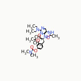 CCN(CC)c1ncc(NC(C)=O)c(N[C@@H](Cc2ccc(OC(=O)N(C)C)cc2)C(=O)OC(C)(C)C)n1